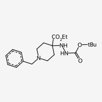 CCOC(=O)C1(NNC(=O)OC(C)(C)C)CCN(Cc2ccccc2)CC1